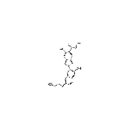 CCOC(=O)c1cc2nn(-c3cc4cc(OCCO)ccc4cc3O)nc2cc1OC